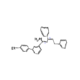 CCc1ccc(-c2cccc(/C(N)=C/C(=C\Cc3ccccc3)c3ccccc3)c2)cc1